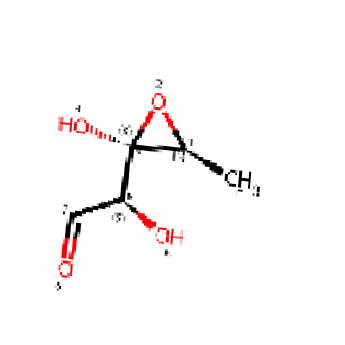 C[C@@H]1O[C@]1(O)[C@@H](O)C=O